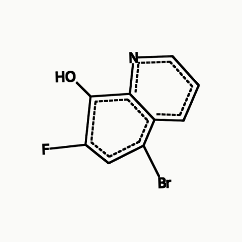 Oc1c(F)cc(Br)c2cccnc12